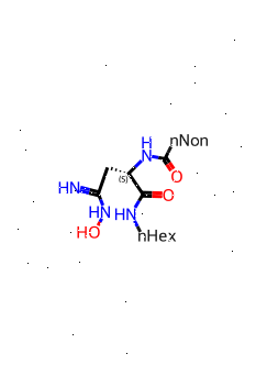 CCCCCCCCCC(=O)N[C@@H](CC(=N)NO)C(=O)NCCCCCC